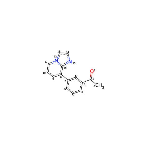 CC(=O)c1cccc(-c2cccn3ccnc23)c1